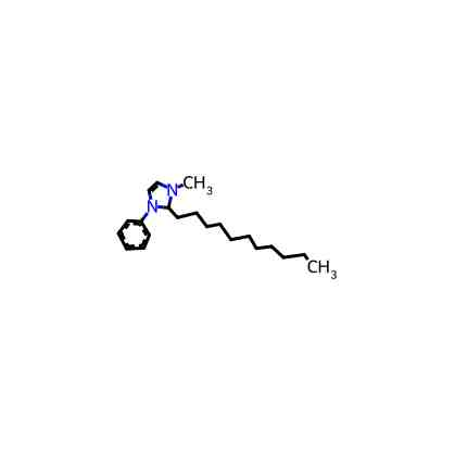 CCCCCCCCCCCC1N(C)C=CN1c1ccccc1